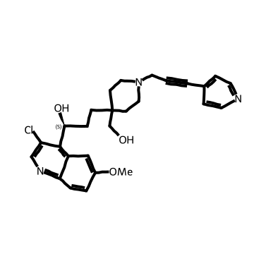 COc1ccc2ncc(Cl)c([C@@H](O)CCC3(CO)CCN(CC#Cc4ccncc4)CC3)c2c1